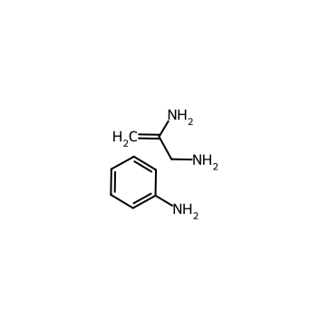 C=C(N)CN.Nc1ccccc1